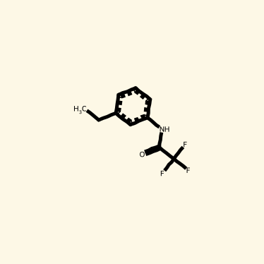 CCc1cccc(NC(=O)C(F)(F)F)c1